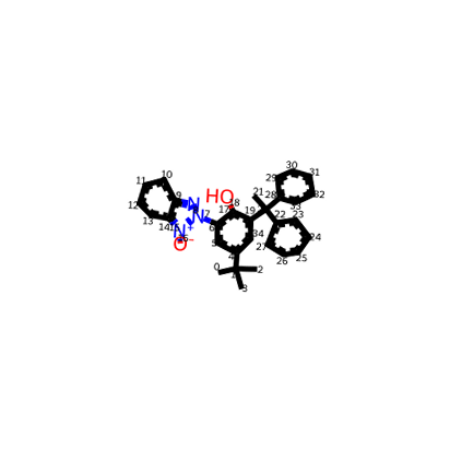 CC(C)(C)c1cc(-n2nc3ccccc3[n+]2[O-])c(O)c(C(C)(c2ccccc2)c2ccccc2)c1